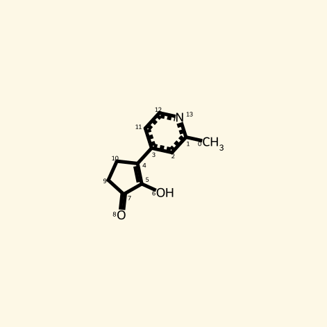 Cc1cc(C2=C(O)C(=O)CC2)ccn1